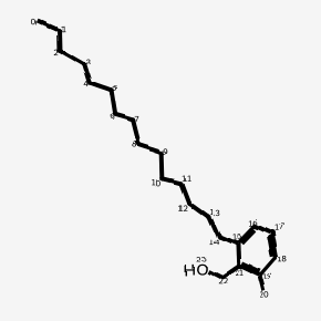 CCCCCCCCCCCCCCCc1cccc(C)c1CO